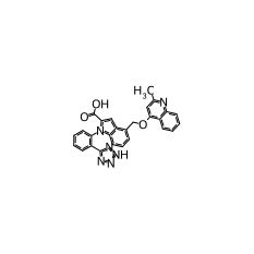 Cc1cc(OCc2cccc3c2cc(C(=O)O)n3-c2ccccc2-c2nn[nH]n2)c2ccccc2n1